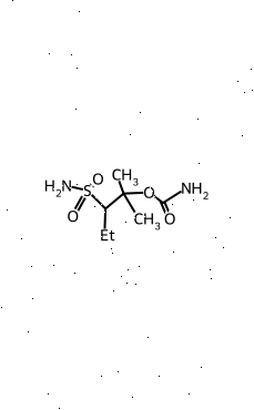 CCC(C(C)(C)OC(N)=O)S(N)(=O)=O